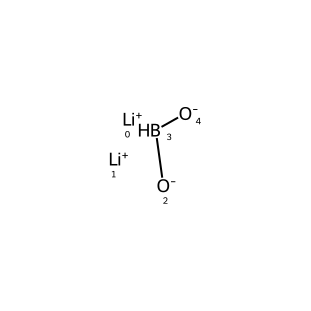 [Li+].[Li+].[O-]B[O-]